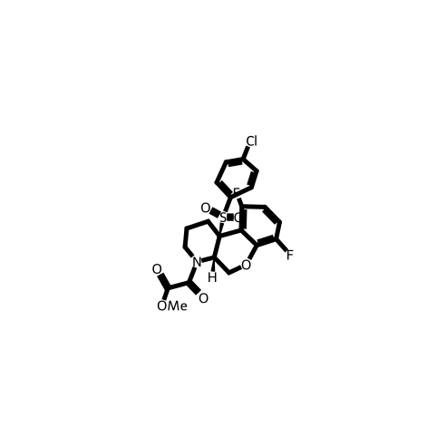 COC(=O)C(=O)N1CCC[C@]2(S(=O)(=O)c3ccc(Cl)cc3)c3c(F)ccc(F)c3OC[C@H]12